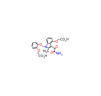 Cc1c(C(=O)C(N)=O)c2c(OCC(=O)O)cccc2n1COc1ccccc1OCC(=O)O